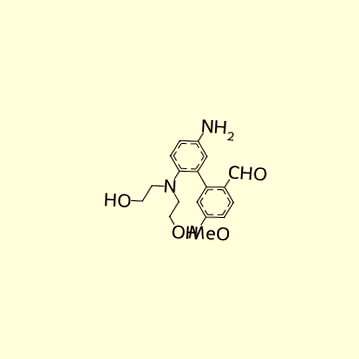 COc1ccc(C=O)c(-c2cc(N)ccc2N(CCO)CCO)c1